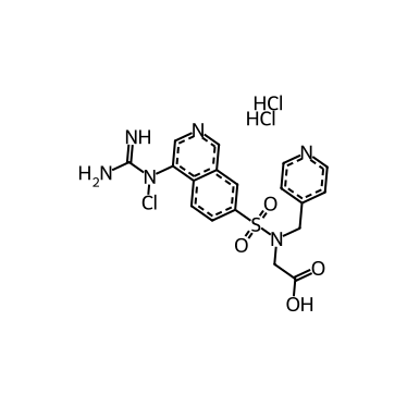 Cl.Cl.N=C(N)N(Cl)c1cncc2cc(S(=O)(=O)N(CC(=O)O)Cc3ccncc3)ccc12